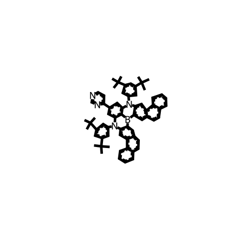 CC(C)(C)c1cc(N2c3cc4c(ccc5ccccc54)cc3B3c4cc5ccc6ccccc6c5cc4N(c4cc(C(C)(C)C)cc(C(C)(C)C)c4)c4cc(-c5ccncn5)cc2c43)cc(C(C)(C)C)c1